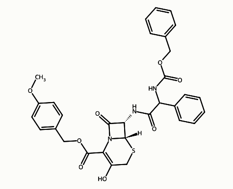 COc1ccc(COC(=O)C2=C(O)CS[C@H]3[C@@H](NC(=O)C(NC(=O)OCc4ccccc4)c4ccccc4)C(=O)N23)cc1